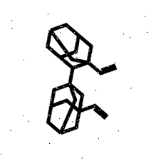 C=CC12CC3CC(C1)CC(C1C4CC5CC(C4)CC1(C=C)C5)(C3)C2